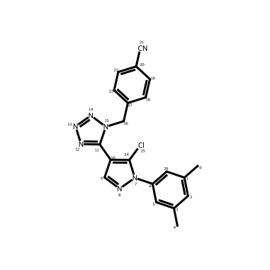 Cc1cc(C)cc(-n2ncc(-c3nnnn3Cc3ccc(C#N)cc3)c2Cl)c1